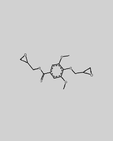 COc1cc(C(=O)OCC2CO2)cc(OC)c1OCC1CO1